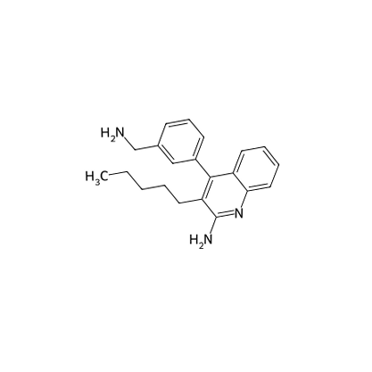 CCCCCc1c(N)nc2ccccc2c1-c1cccc(CN)c1